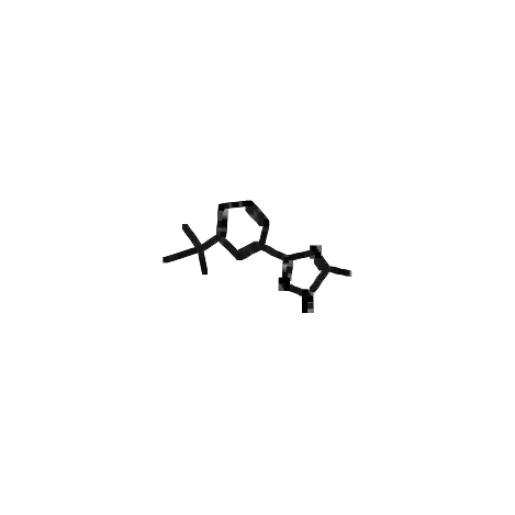 Cc1nc(-c2cccc(C(C)(C)C)c2)n[nH]1